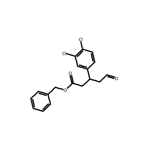 O=CCC(CC(=O)OCc1ccccc1)c1ccc(Cl)c(Cl)c1